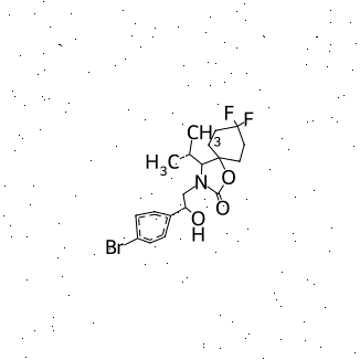 CC(C)C1N(CC(O)c2ccc(Br)cc2)C(=O)OC12CCC(F)(F)CC2